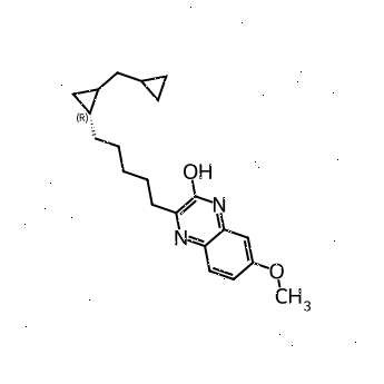 COc1ccc2nc(CCCCC[C@@H]3CC3CC3CC3)c(O)nc2c1